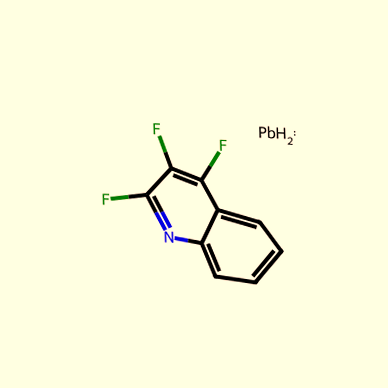 Fc1nc2ccccc2c(F)c1F.[PbH2]